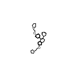 C1=CCC(C2=C(c3ccc(OCCN4CCCC4)cc3)c3ccc(OCCN4CCCC4)cc3CC2)C=C1